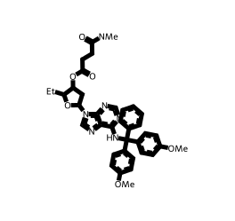 CCC1OC(n2cnc3c(NC(c4ccccc4)(c4ccc(OC)cc4)c4ccc(OC)cc4)ncnc32)CC1OC(=O)CCC(=O)NC